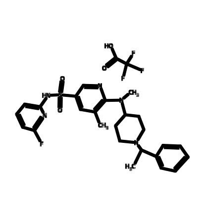 Cc1cc(S(=O)(=O)Nc2cccc(F)n2)cnc1N(C)C1CCN(C(C)c2ccccc2)CC1.O=C(O)C(F)(F)F